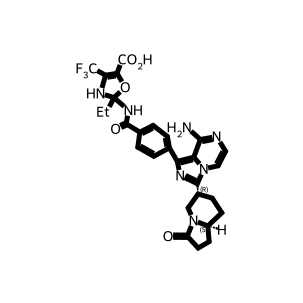 CCC1(NC(=O)c2ccc(-c3nc([C@@H]4CC[C@H]5CCC(=O)N5C4)n4ccnc(N)c34)cc2)NC(C(F)(F)F)=C(C(=O)O)O1